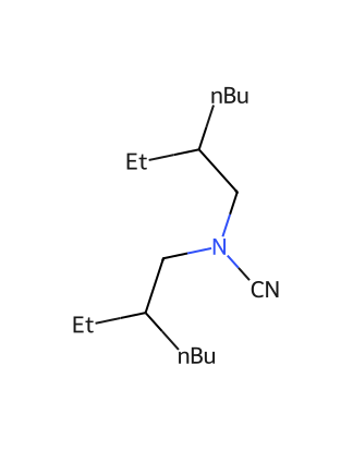 CCCCC(CC)CN(C#N)CC(CC)CCCC